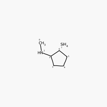 CNC1CCCC1.[SiH4]